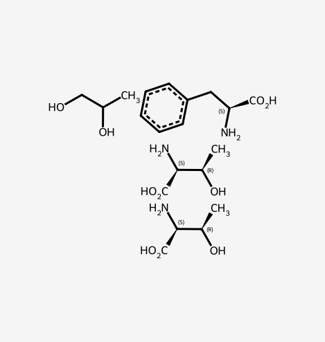 CC(O)CO.C[C@@H](O)[C@H](N)C(=O)O.C[C@@H](O)[C@H](N)C(=O)O.N[C@@H](Cc1ccccc1)C(=O)O